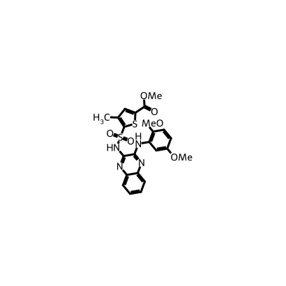 COC(=O)c1cc(C)c(S(=O)(=O)Nc2nc3ccccc3nc2Nc2cc(OC)ccc2OC)s1